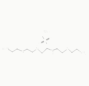 NCCNCCNCCNCCNCCN.O=S(=O)([O-])[O-].[Mn+2]